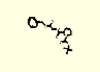 CC(C)(C)OC(=O)N1CCCC1C(=O)NCC(=O)OCc1ccccc1